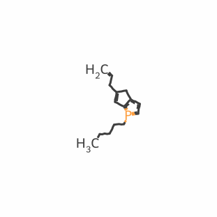 C=CCC1=Cc2c(ccp2CCCCC)C1